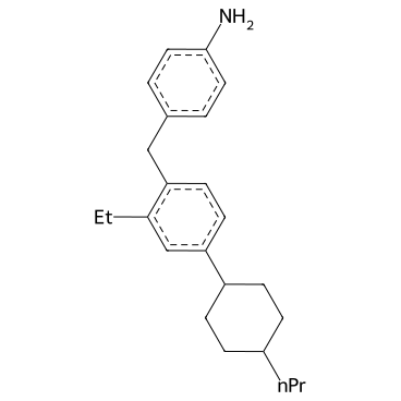 CCCC1CCC(c2ccc(Cc3ccc(N)cc3)c(CC)c2)CC1